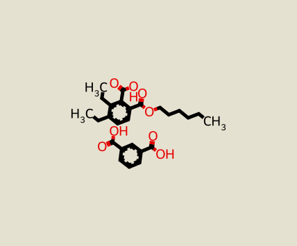 CCCCCCOC(=O)c1ccc(CC)c(CC)c1C(=O)O.O=C(O)c1cccc(C(=O)O)c1